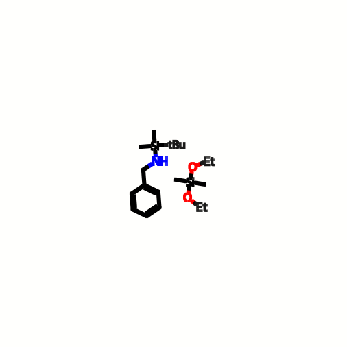 CC(C)(C)[Si](C)(C)NCc1ccccc1.CCO[Si](C)(C)OCC